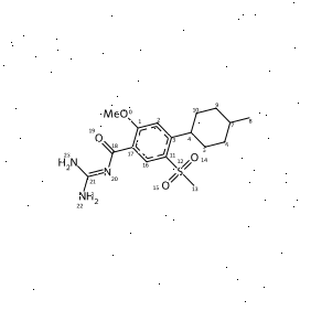 COc1cc(C2CCC(C)CC2)c(S(C)(=O)=O)cc1C(=O)N=C(N)N